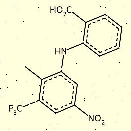 Cc1c(Nc2ccccc2C(=O)O)cc([N+](=O)[O-])cc1C(F)(F)F